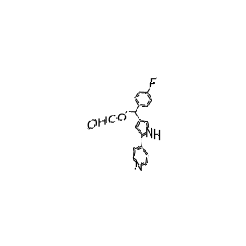 O=COCC(c1ccc(F)cc1)c1c[nH]c(-c2ccncc2)c1